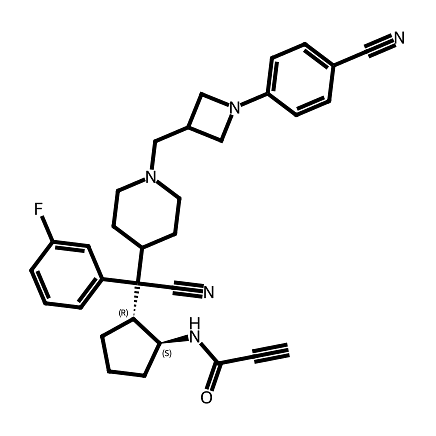 C#CC(=O)N[C@H]1CCC[C@@H]1C(C#N)(c1cccc(F)c1)C1CCN(CC2CN(c3ccc(C#N)cc3)C2)CC1